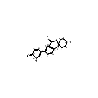 O=C1CC2(CCNCC2)Oc2ccc(-c3ccc(=O)[nH]c3)cc21